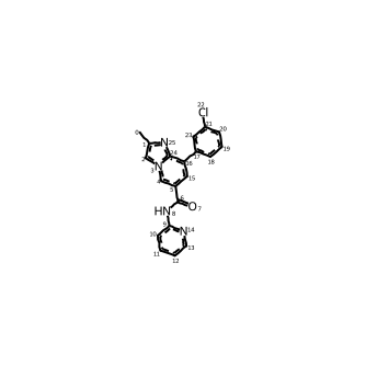 Cc1cn2cc(C(=O)Nc3ccccn3)cc(-c3cccc(Cl)c3)c2n1